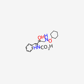 O=C(O)N[C@@H](Cc1ccccc1)[C@@H](O)CNOC1CCCCC1